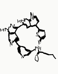 CCCCC(=O)Nc1cncc(-c2cc3c(-c4cc5c(-c6ccc(F)s6)ccnc5[nH]4)n[nH]c3cn2)c1